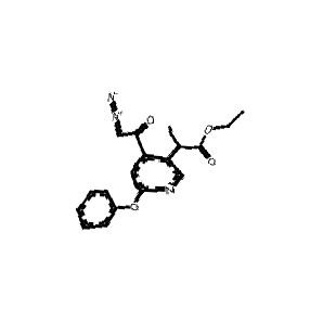 CCOC(=O)C(C)c1cnc(Oc2ccccc2)cc1C(=O)C=[N+]=[N-]